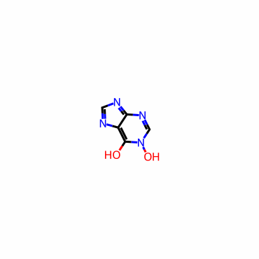 Oc1c2ncnc-2ncn1O